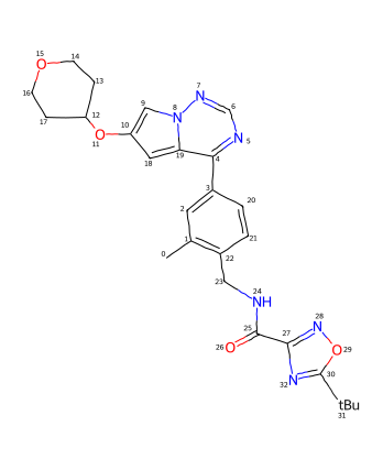 Cc1cc(-c2ncnn3cc(OC4CCOCC4)cc23)ccc1CNC(=O)c1noc(C(C)(C)C)n1